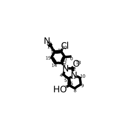 Cc1c(N2CC3=C(O)CCCN3C2=O)ccc(C#N)c1Cl